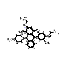 CC/N=c1\cc2oc3cc(NCC)c(C)cc3c(-c3ccccc3C(=O)N3CCC(C)CC3)c-2cc1C